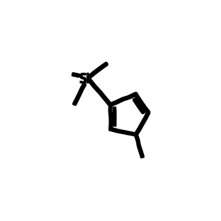 CC1C=CC([Si](C)(C)C)=C1